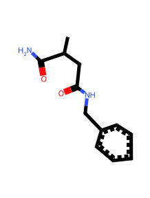 CC([CH]C(=O)NCc1ccccc1)C(N)=O